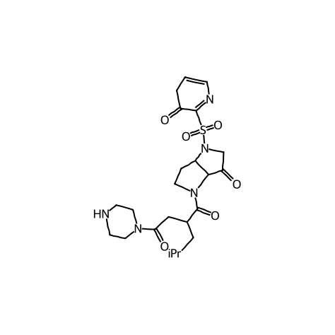 CC(C)CC(CC(=O)N1CCNCC1)C(=O)N1CCC2C1C(=O)CN2S(=O)(=O)C1=NC=CCC1=O